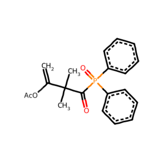 C=C(OC(C)=O)C(C)(C)C(=O)P(=O)(c1ccccc1)c1ccccc1